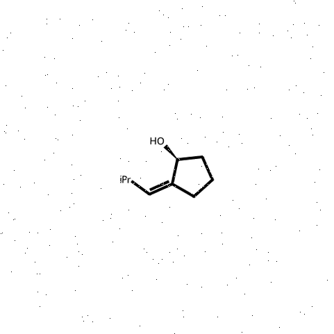 CC(C)C=C1CCC[C@@H]1O